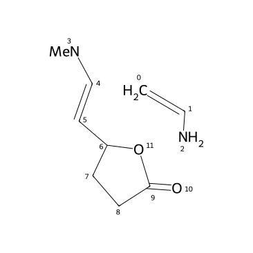 C=CN.CNC=CC1CCC(=O)O1